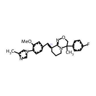 COc1cc(/C=C2\CCCN3C2=NOCC3(C)c2ccc(F)cc2)ccc1-n1cnc(C)c1